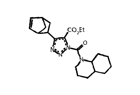 CCOC(=O)c1c(C2CC3C=CC2C3)nnn1C(=O)N1CCCC2CCCCC21